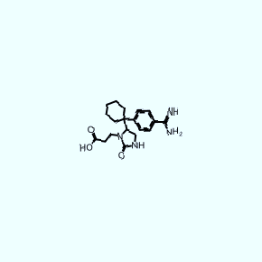 N=C(N)c1ccc(C2(C3CNC(=O)N3CCC(=O)O)CCCCC2)cc1